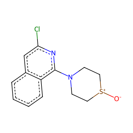 [O-][S+]1CCN(c2nc(Cl)cc3ccccc23)CC1